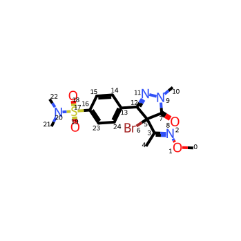 CON=C(C)C1(Br)C(=O)N(C)N=C1c1ccc(S(=O)(=O)N(C)C)cc1